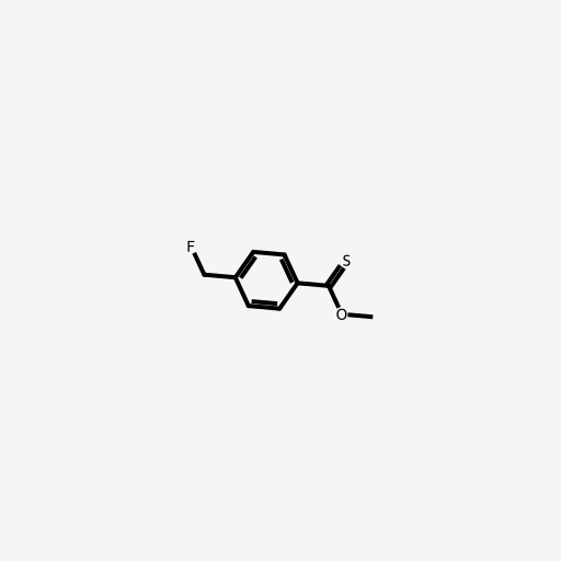 COC(=S)c1ccc(CF)cc1